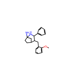 COc1ccccc1CC1C2CCC(N)(C2)NC1c1ccccc1